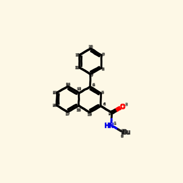 CCC(C)NC(=O)c1cc(-c2ccccc2)c2ccccc2c1